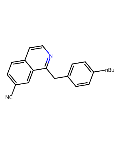 CCCCc1ccc(Cc2nccc3ccc(C#N)cc23)cc1